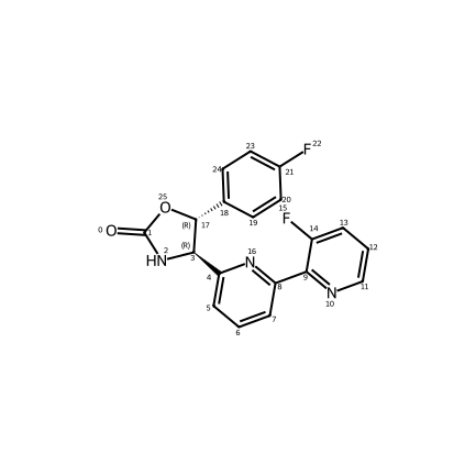 O=C1N[C@H](c2cccc(-c3ncccc3F)n2)[C@@H](c2ccc(F)cc2)O1